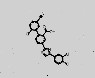 N#Cc1ccc(Cl)c(-c2ccc(-c3nc(-c4ccc(Cl)c(Cl)c4)cs3)cc2C(=O)O)c1